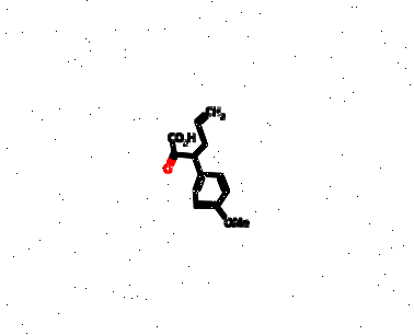 C=CCC(C(=O)C(=O)O)c1ccc(OC)cc1